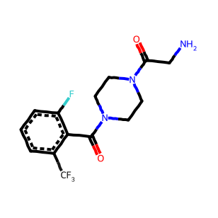 NCC(=O)N1CCN(C(=O)c2c(F)cccc2C(F)(F)F)CC1